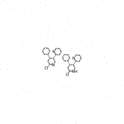 Clc1cc(-c2ccccc2)c(-c2ccccn2)cn1.O=c1cc(-c2ccccc2)c(-c2ccccn2)c[nH]1